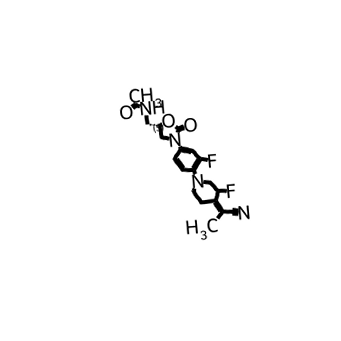 CC(=O)NC[C@H]1CN(c2ccc(N3CCC(=C(C)C#N)C(F)C3)c(F)c2)C(=O)O1